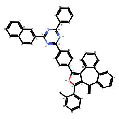 C=C1c2ccccc2-c2ccccc2-c2c(-c3ccc(-c4nc(-c5ccccc5)nc(-c5ccc6ccccc6c5)n4)cc3)oc(-c3ccccc3C)c21